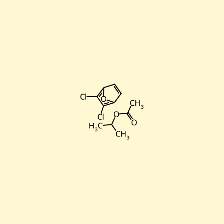 CC(=O)OC(C)C.Clc1c(Cl)c2ccc1o2